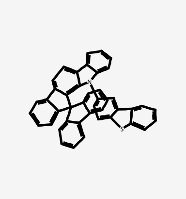 c1ccc2c(c1)-c1ccccc1C21c2ccccc2-c2ccc3c4ccccc4n(-c4ccc5sc6ccccc6c5c4)c3c21